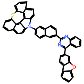 c1ccc2c(-c3ccc4c(c3)oc3ccccc34)nc(-c3ccc4cc(-n5c6ccc7cccc8sc9cccc%10ccc5c(c%109)c6c78)ccc4c3)nc2c1